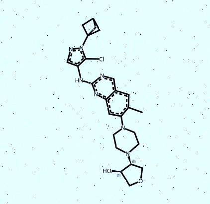 Cc1cc2cnc(Nc3cnn(C45CC(C4)C5)c3Cl)nc2cc1N1CCN([C@H]2COC[C@H]2O)CC1